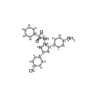 Nc1ccc(-c2cc(-c3ccc(Cl)cc3)nn2NS(=O)(=O)c2ccccc2)cc1